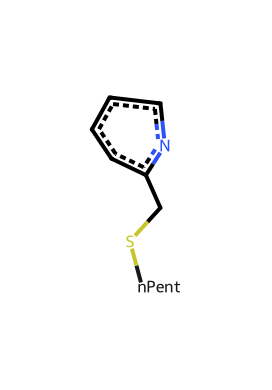 CCCCCSCc1ccccn1